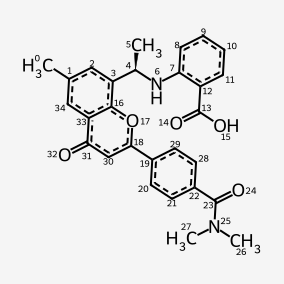 Cc1cc([C@@H](C)Nc2ccccc2C(=O)O)c2oc(-c3ccc(C(=O)N(C)C)cc3)cc(=O)c2c1